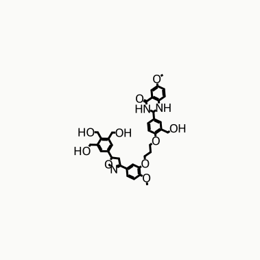 COc1ccc2c(c1)C(=O)NC(c1ccc(OCCCOc3cc(C4=NOC(c5cc(CO)c(CO)c(CO)c5)C4)ccc3OC)c(CO)c1)N2